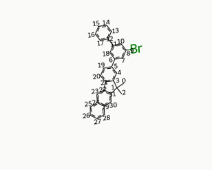 CC1(C)c2cc(-c3cc(Br)cc(-c4ccccc4)c3)ccc2-c2cc3ccccc3cc21